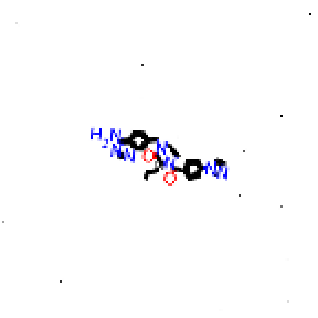 CCC[C@H]1C(=O)N(Cc2ccc3c(N)ncnc3c2)CCN1C(=O)c1ccc(-n2ccnc2)cc1